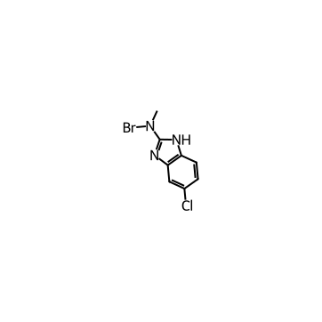 CN(Br)c1nc2cc(Cl)ccc2[nH]1